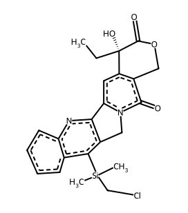 CC[C@@]1(O)C(=O)OCc2c1cc1n(c2=O)Cc2c-1nc1ccccc1c2[Si](C)(C)CCl